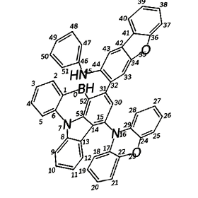 B1c2ccccc2-n2c3ccccc3c3c(N4c5ccccc5Oc5ccccc54)cc(-c4cc5oc6ccccc6c5cc4Nc4ccccc4)c1c32